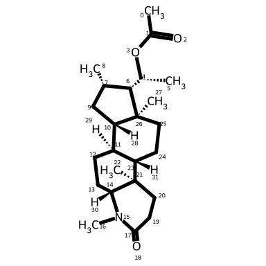 CC(=O)O[C@H](C)[C@H]1[C@@H](C)C[C@H]2[C@@H]3CC[C@H]4N(C)C(=O)CC[C@]4(C)[C@H]3CC[C@]12C